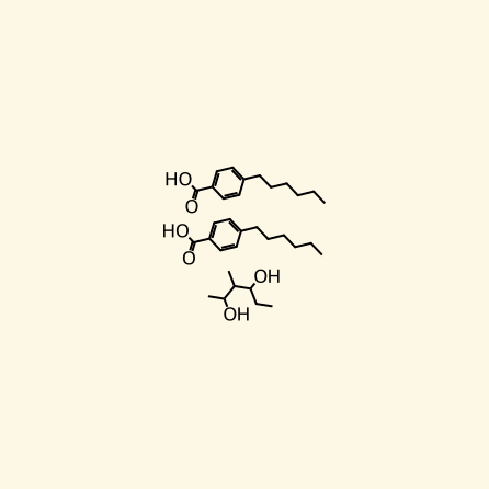 CCC(O)C(C)C(C)O.CCCCCCc1ccc(C(=O)O)cc1.CCCCCCc1ccc(C(=O)O)cc1